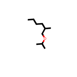 CCCCC(C)COC(C)C